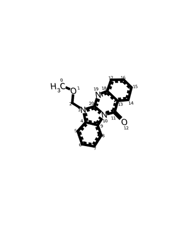 COCn1c2ccccc2n2c(=O)c3ccccc3nc12